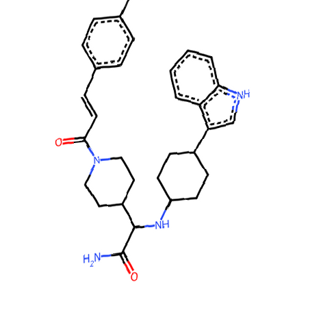 NC(=O)C(NC1CCC(c2c[nH]c3ccccc23)CC1)C1CCN(C(=O)C=Cc2ccc(C(F)(F)F)cc2)CC1